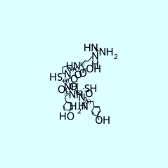 N=C(N)NCCC[C@H](NC(=O)[C@@H]1CCCN1C(=O)[C@H](CS)NC(=O)[C@H](Cc1ccc(O)cc1)NC(=O)[C@H](CS)NC(=O)[C@@H](N)Cc1ccc(O)cc1)C(=O)O